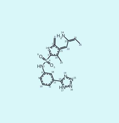 C=c1sc(S(=O)(=O)Nc2cccc(-c3nnn[nH]3)c2)c(C)/c1=C/C(N)=C\C